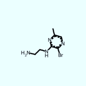 Cc1cnc(Br)c(NCCN)n1